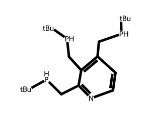 CC(C)(C)PCc1ccnc(CPC(C)(C)C)c1CPC(C)(C)C